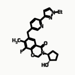 CCn1ccc(-c2ccc(Cc3cc4c(c(F)c3C)OCN([C@H]3CCC[C@@H]3O)C4=O)cn2)n1